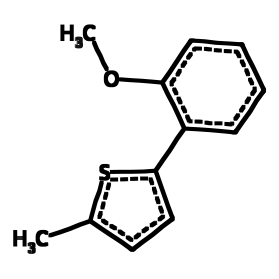 COc1ccccc1-c1ccc(C)s1